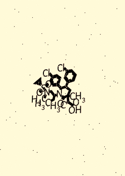 CCC(CN(C)S(=O)(=O)C1CC1)N1C(=O)C(C)(C(C)C(=O)O)CC(c2cccc(Cl)c2)C1c1ccc(Cl)cc1